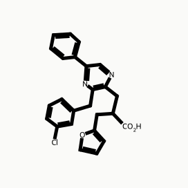 O=C(O)C(Cc1ccco1)Cc1ncc(-c2ccccc2)nc1Cc1cccc(Cl)c1